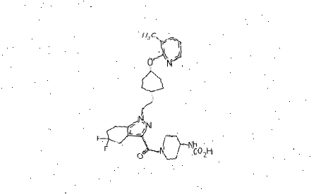 Cc1cccnc1O[C@H]1CC[C@@H](CCn2nc(C(=O)N3CCC(NC(=O)O)CC3)c3c2CCC(F)(F)C3)CC1